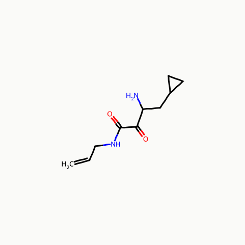 C=CCNC(=O)C(=O)C(N)CC1CC1